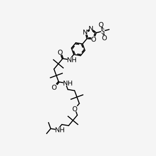 CC(C)NCCC(C)(C)COCC(C)(C)CCNC(=O)C(C)(C)CC(C)(C)C(=O)Nc1ccc(-c2nnc(S(C)(=O)=O)o2)cc1